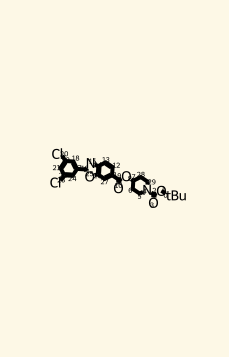 CC(C)(C)OC(=O)N1CCC(OC(=O)c2ccc3nc(-c4cc(Cl)cc(Cl)c4)oc3c2)CC1